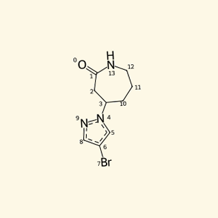 O=C1CC(n2cc(Br)cn2)CCCN1